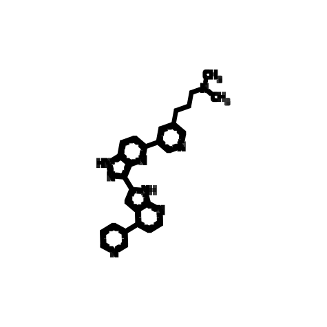 CN(C)CCCc1cncc(-c2ccc3[nH]nc(-c4cc5c(-c6cccnc6)ccnc5[nH]4)c3n2)c1